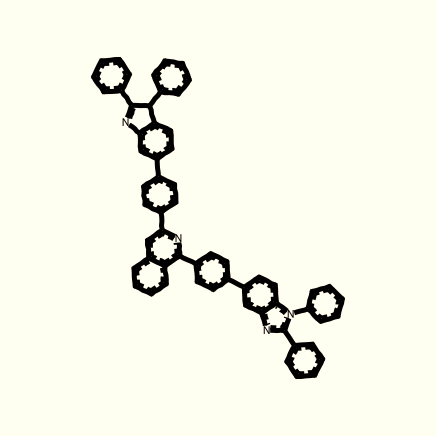 c1ccc(C2=Nc3cc(-c4ccc(-c5cc6ccccc6c(-c6ccc(-c7ccc8c(c7)nc(-c7ccccc7)n8-c7ccccc7)cc6)n5)cc4)ccc3C2c2ccccc2)cc1